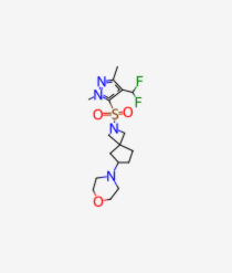 Cc1nn(C)c(S(=O)(=O)N2CC3(CCC(N4CCOCC4)C3)C2)c1C(F)F